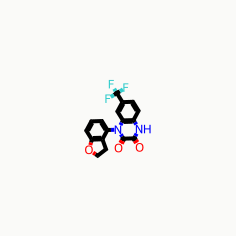 O=c1[nH]c2ccc(C(F)(F)F)cc2n(-c2cccc3c2CCO3)c1=O